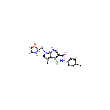 Cc1ccc(NC(=O)c2cnc3c(c(C)cn3Cc3ncco3)c2Cl)cc1